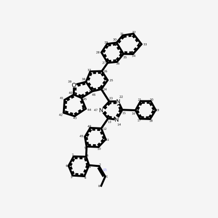 C/C=C\c1ccccc1-c1ccc(-c2nc(-c3ccccc3)nc(-c3cc(-c4ccc5ccccc5c4)cc4oc5ccccc5c34)n2)cc1